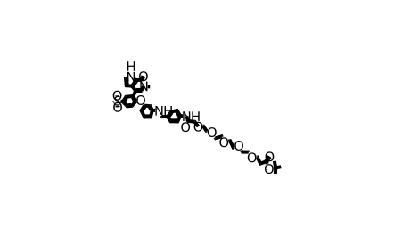 Cn1cc(-c2cc(S(C)(=O)=O)ccc2Oc2cccc(NCc3ccc(NC(=O)COCCOCCOCCOCCOCCC(=O)OC(C)(C)C)cc3)c2)c2cc[nH]c2c1=O